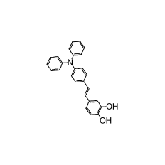 Oc1ccc(/C=C/c2ccc(N(c3ccccc3)c3ccccc3)cc2)cc1O